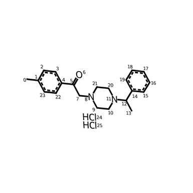 Cc1ccc(C(=O)CN2CCN(C(C)c3ccccc3)CC2)cc1.Cl.Cl